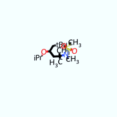 CC(C)OC(CC(C)(C)C)CC(C)(C)N(C)S(C)(=O)=O